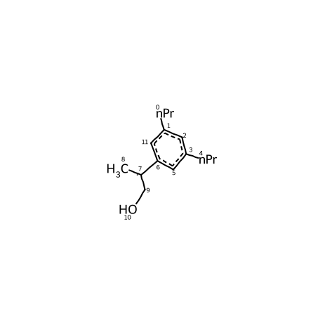 CCCc1cc(CCC)cc([C](C)CO)c1